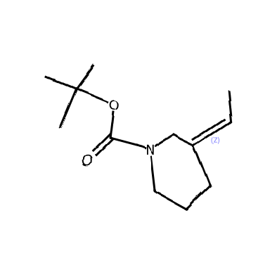 C/C=C1/CCCN(C(=O)OC(C)(C)C)C1